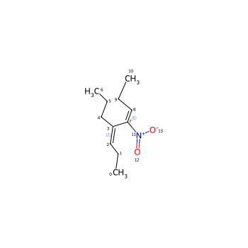 CC/C=C(CCC)\C(=C/CC)[N+](=O)[O-]